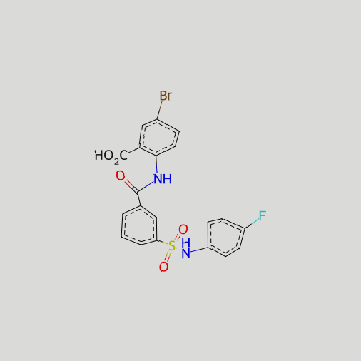 O=C(Nc1ccc(Br)cc1C(=O)O)c1cccc(S(=O)(=O)Nc2ccc(F)cc2)c1